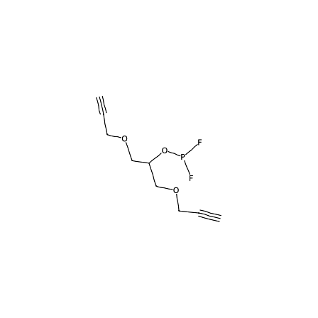 C#CCOCC(COCC#C)OP(F)F